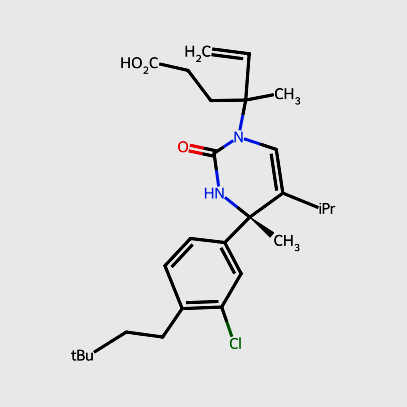 C=CC(C)(CCC(=O)O)N1C=C(C(C)C)[C@](C)(c2ccc(CCC(C)(C)C)c(Cl)c2)NC1=O